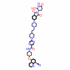 N#Cc1ccc(OC2CCC(NC(=O)c3cnc(N4CCC(CCN5CCN(c6ccc7c(c6)C(=O)N(C6CCC(=O)NC6O)C7=O)CC5)CC4)cn3)CC2)c2cccnc12